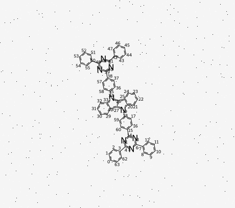 c1ccc(-c2nc(-c3ccccc3)nc(-c3ccc(-n4c5ccccc5c5c4c4ccccc4n5-c4ccc(-c5nc(-c6ccccc6)nc(-c6ccccc6)n5)cc4)cc3)n2)cc1